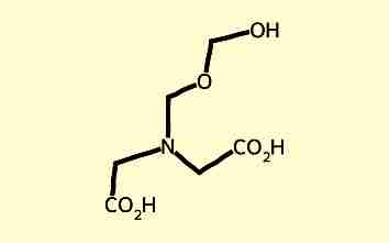 O=C(O)CN(COCO)CC(=O)O